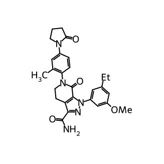 CCc1cc(OC)cc(-n2nc(C(N)=O)c3c2C(=O)N(c2ccc(N4CCCC4=O)cc2C)CC3)c1